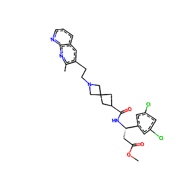 COC(=O)C[C@H](NC(=O)C1CC2(C1)CN(CCc1cc3cccnc3nc1C)C2)c1cc(Cl)cc(Cl)c1